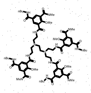 CCCCNC(=O)c1cc(C(=O)NC)c(OC)c(C(=O)NCCN(CCNC(=O)c2cc(C(=O)NCCCC)cc(C(=O)NC)c2OC)CCN(CCNC(=O)c2cc(C(=O)NCCCC)cc(C(=O)NC)c2OC)CCNC(=O)c2cc(C(=O)NCCCC)cc(C(=O)NC)c2OC)c1